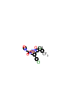 CN(Cc1cc(-c2ccc(Cl)cc2)cc(-c2cc(-c3cc(C(F)(F)F)ccc3Cl)c(C#N)c(=O)[nH]2)c1O)C(=O)CCN1CCOCC1